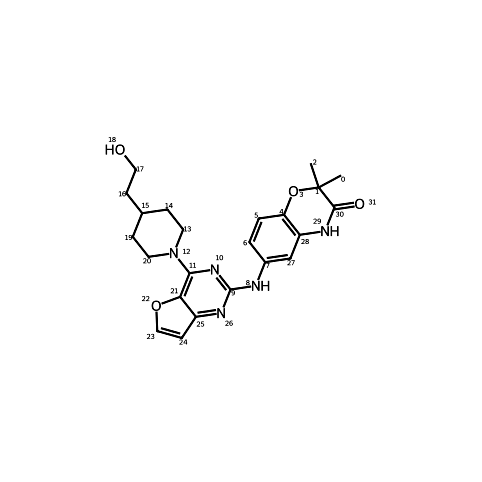 CC1(C)Oc2ccc(Nc3nc(N4CCC(CCO)CC4)c4occc4n3)cc2NC1=O